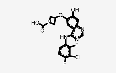 O=C(O)N1CC(Oc2cc3c(Nc4ccc(F)c(Cl)c4F)ncnc3cc2O)C1